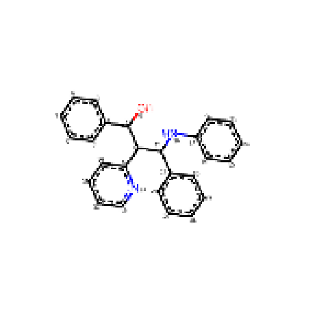 OC(c1ccccc1)C(c1ccccn1)C(Nc1ccccc1)c1ccccc1